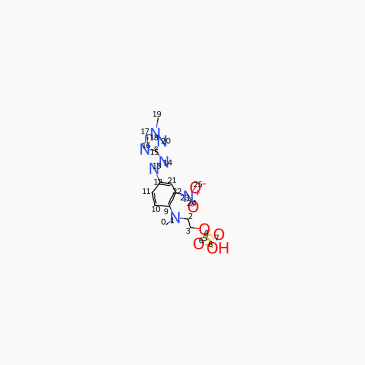 CN(CCOS(=O)(=O)O)c1ccc(N=Nc2ncn(C)n2)cc1[N+](=O)[O-]